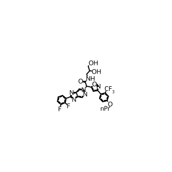 CCCOc1ccc(-c2cc(C(C(=O)NCC(O)CO)n3cc4nc(-c5cccc(F)c5F)nc-4cn3)on2)c(C(F)(F)F)c1